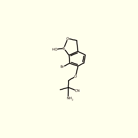 CC(N)(C#N)COc1ccc2c(c1Br)B(O)OC2